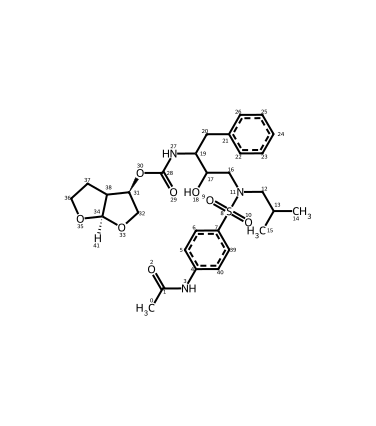 CC(=O)Nc1ccc(S(=O)(=O)N(CC(C)C)CC(O)C(Cc2ccccc2)NC(=O)O[C@H]2CO[C@H]3OCCC32)cc1